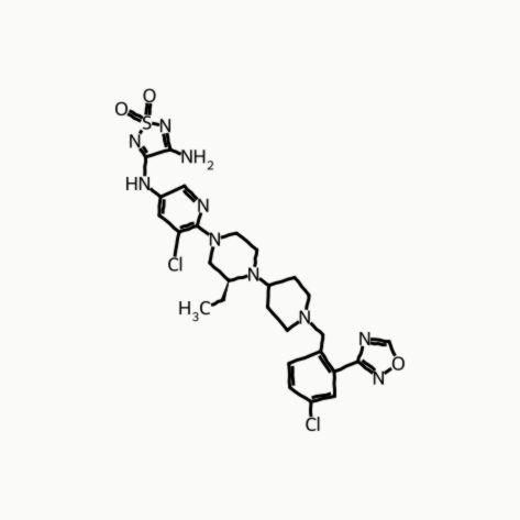 CC[C@H]1CN(c2ncc(NC3=NS(=O)(=O)N=C3N)cc2Cl)CCN1C1CCN(Cc2ccc(Cl)cc2-c2ncon2)CC1